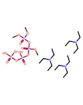 CCN(CC)CC.CCN(CC)CC.CCN(CC)CC.COP(=O)(OC)OP(=O)(OC)OP(=O)(O)OP(=O)(O)O